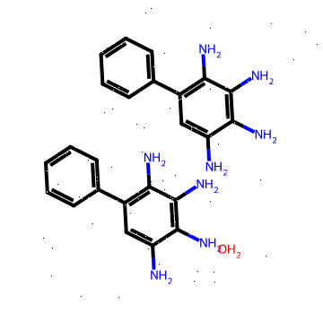 Nc1cc(-c2ccccc2)c(N)c(N)c1N.Nc1cc(-c2ccccc2)c(N)c(N)c1N.O